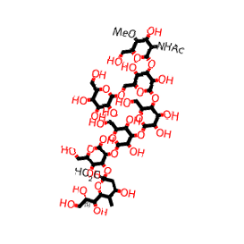 COC1C(CO)OC(OC2C(O)C(COC3OC(CO)C(O)C(O)C3O)OC(OC3C(CO)OC(OC4C(O)C(CO)OC(OC5C(O)OC(CO)C(O)C5OC5(C(=O)O)CC(O)C(C)C(C(O)[C@@H](O)CO)O5)C4O)C(O)C3O)C2O)C(NC(C)=O)C1O